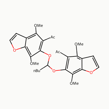 CCCCC(Oc1c(C(C)=O)c(OC)c2ccoc2c1OC)Oc1c(C(C)=O)c(OC)c2ccoc2c1OC